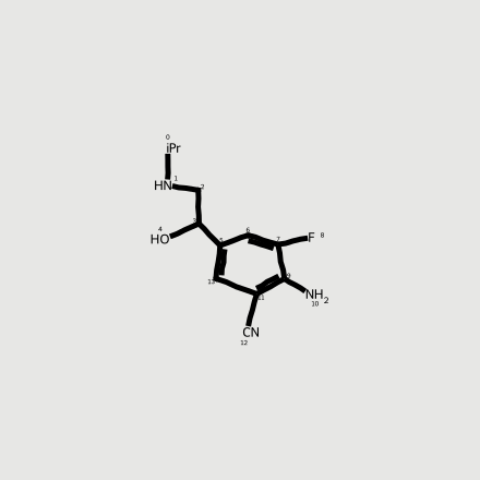 CC(C)NCC(O)c1cc(F)c(N)c(C#N)c1